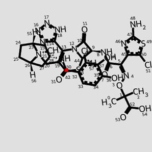 CC(C)(O/N=C(\C(=O)N[C@@H]1C(=O)N2C(c3nnn[nH]3)=C(C[N+]3(C)[C@@H]4CC[C@H]3C[C@@H](NC(=O)c3ccc(O)c(O)c3Cl)C4)CS[C@H]12)c1nc(N)sc1Cl)C(=O)O